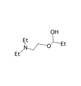 CCC(O)OCCN(CC)CC